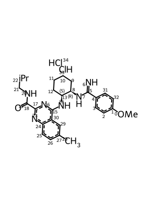 COc1ccc(C(=N)N[C@@H]2CCCC[C@@H]2Nc2nc(C(=O)NCC(C)C)nc3ccc(C)cc23)cc1.Cl.Cl